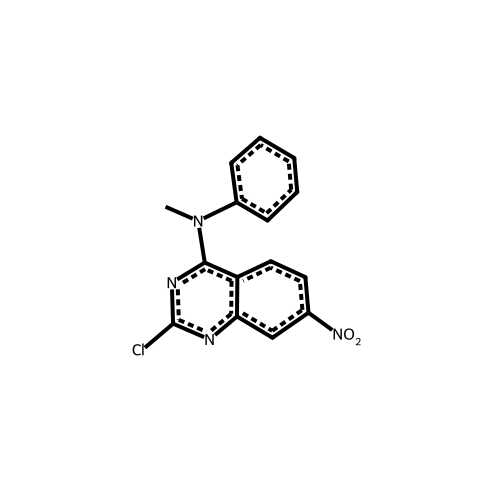 CN(c1ccccc1)c1nc(Cl)nc2cc([N+](=O)[O-])ccc12